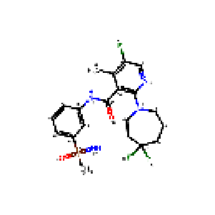 Cc1c(F)cnc(N2CCCC(F)(F)CC2)c1C(=O)Nc1cccc([S@](C)(=N)=O)c1